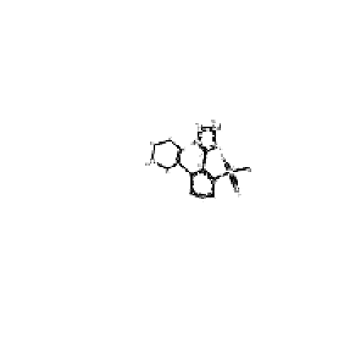 CS(=O)(=O)c1cccc(C2=CCCOC2)c1-c1nn[nH]n1